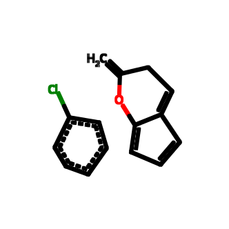 C=C1CC=C2C=CC=C2O1.Clc1ccccc1